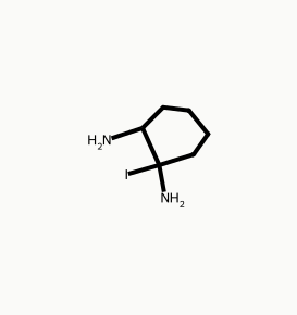 NC1CCCCC1(N)I